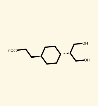 CCCCCCCCCC[C@H]1CC[C@H](C(CO)CO)CC1